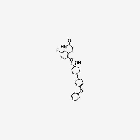 O=C1CCc2c(OCC3(O)CCN(c4ccc(Oc5ccccc5)cc4)CC3)ccc(F)c2N1